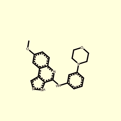 COc1ccc2nc(Nc3cccc(N4CCOCC4)c3)c3[nH]ncc3c2c1